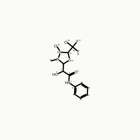 CN1C(C(O)C(=O)Nc2ccccc2)SC(C(F)(F)Cl)N1Cl